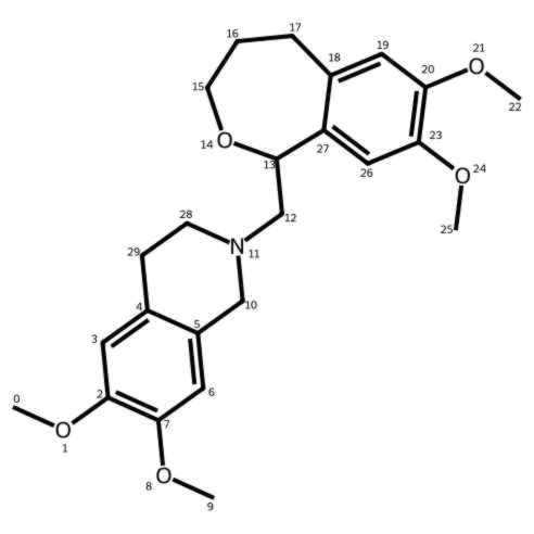 COc1cc2c(cc1OC)CN(CC1OCCCc3cc(OC)c(OC)cc31)CC2